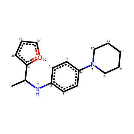 CC(Nc1ccc(N2CCCCC2)cc1)c1ccco1